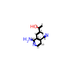 C=C(O)/C(C)=C/c1c(C#N)ccnc1N